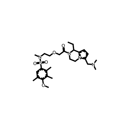 CCC1c2ccc(CN(C)C)n2CCN1C(=O)COCCN(C)S(=O)(=O)c1cc(C)c(OC)c(C)c1C